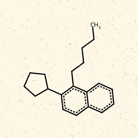 CCCCCc1c(C2CCCC2)ccc2ccccc12